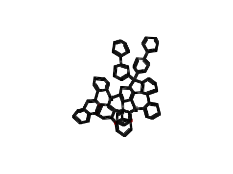 c1ccc(-c2ccc(C3(c4cccc(-c5ccccc5)c4)c4cccc5c4-c4c3cc(N(c3ccccc3-c3ccc6ccccc6c3)c3cccc6c3oc3ccccc36)c3c6ccccc6n(c43)-c3ccccc3-5)cc2)cc1